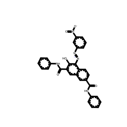 O=C(Nc1ccccc1)c1ccc2c(/N=N/c3cccc([N+](=O)[O-])c3)c(O)c(C(=O)Nc3ccccc3)cc2c1